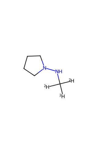 [2H]C([2H])([2H])NN1CCCC1